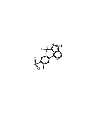 Cc1cc(-c2nccc3[nH]nc(C(F)(F)F)c23)ccc1S(C)(=O)=O